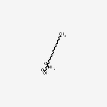 CCCCCCCCCCCCCCCCCCC(=O)C(N)CCC(=O)O